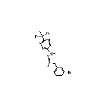 CCC(C)(CC)c1ccc(NN=C(C)Cc2cccc(Br)c2)nn1